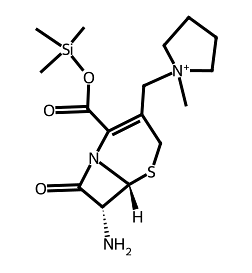 C[N+]1(CC2=C(C(=O)O[Si](C)(C)C)N3C(=O)[C@@H](N)[C@H]3SC2)CCCC1